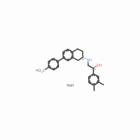 Cc1ccc([C@H](O)CN[C@H]2CCc3ccc(-c4ccc(C(=O)O)cc4)cc3C2)cc1C.[NaH]